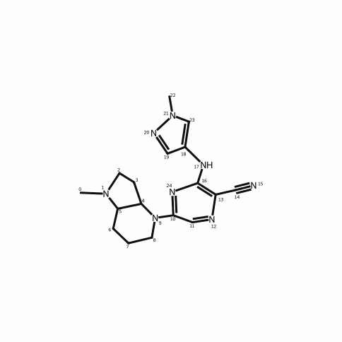 CN1CCC2C1CCCN2c1cnc(C#N)c(Nc2cnn(C)c2)n1